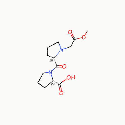 COC(=O)CN1CCC[C@H]1C(=O)N1CCC[C@H]1C(=O)O